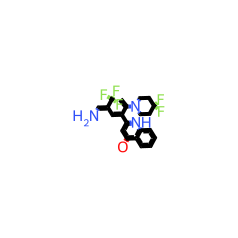 C=C(/C(=C\C(=C/N)C(F)(F)F)c1cc(=O)c2ccccc2[nH]1)N1CCC(F)(F)CC1